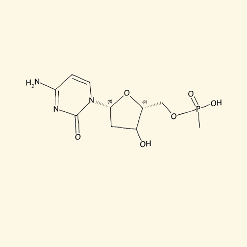 CP(=O)(O)OC[C@H]1O[C@@H](n2ccc(N)nc2=O)CC1O